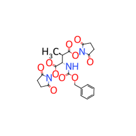 C[C@@H](C(=O)ON1C(=O)CCC1=O)[C@H](NC(=O)OCc1ccccc1)C(=O)ON1C(=O)CCC1=O